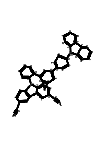 N#Cc1ccc2c(c1)c1cc(C#N)ccc1n2-c1ccccc1-c1cc(-c2ccc(-n3c4ccccc4c4ccccc43)cc2)cc2c1C2